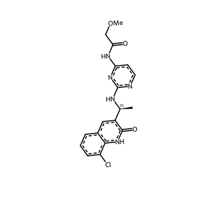 COCC(=O)Nc1ccnc(N[C@@H](C)c2cc3cccc(Cl)c3[nH]c2=O)n1